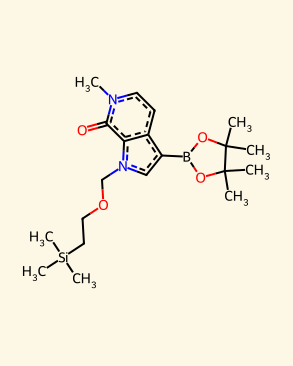 Cn1ccc2c(B3OC(C)(C)C(C)(C)O3)cn(COCC[Si](C)(C)C)c2c1=O